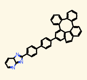 C1=CC2N=C(c3ccc(-c4ccc(-c5cc6ccc7cccc8c9ccccc9c9ccccc9c(c5)c6c78)cc4)cc3)N=C2N=C1